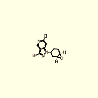 Clc1cc2c(cn1)c(Br)nn2[C@@H]1CC[C@H]2O[C@H]2C1